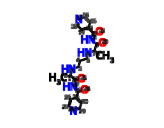 CC(NCCCNC(C)C(=O)NC(=O)c1ccncc1)C(=O)NC(=O)c1ccncc1